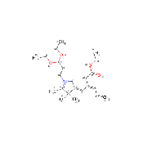 C=C/C=C(\C=C1/C[N+](CCC(OCC)OCC)=C(C)C1(C)C)CC(=O)OCC